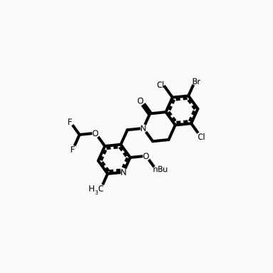 CCCCOc1nc(C)cc(OC(F)F)c1CN1CCc2c(Cl)cc(Br)c(Cl)c2C1=O